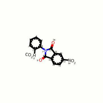 O=C(O)c1ccccc1N1C(=O)c2ccc([N+](=O)[O-])cc2C1=O